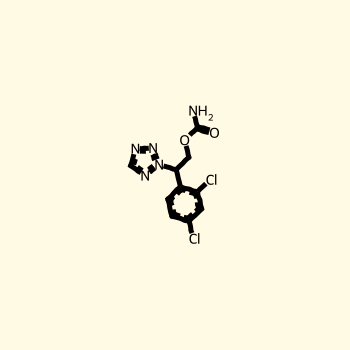 NC(=O)OCC(c1ccc(Cl)cc1Cl)n1ncnn1